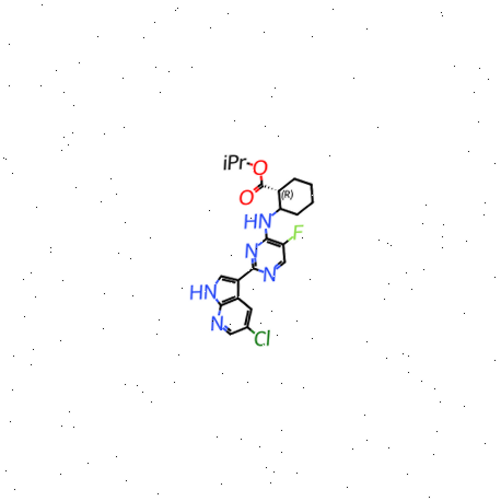 CC(C)OC(=O)[C@@H]1CCCCC1Nc1nc(-c2c[nH]c3ncc(Cl)cc23)ncc1F